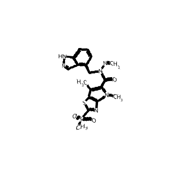 C=NN(Cc1cccc2[nH]ncc12)C(=O)c1c(C)c2sc(S(C)(=O)=O)nc2n1C